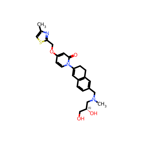 Cc1csc(COc2ccn(C3=Cc4ccc(CN(C)C[C@H](O)CO)cc4CC3)c(=O)c2)n1